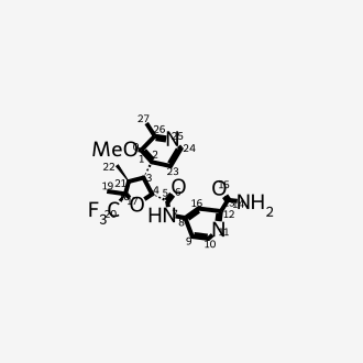 COc1c([C@@H]2[C@H](C(=O)Nc3ccnc(C(N)=O)c3)O[C@@](C)(C(F)(F)F)[C@H]2C)ccnc1C